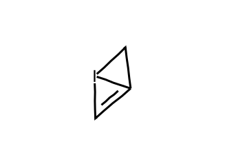 C1=C2CI12